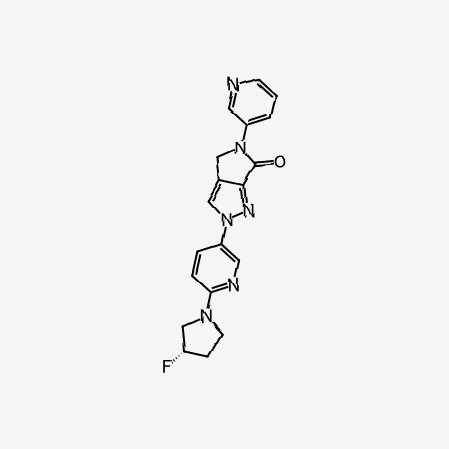 O=C1c2nn(-c3ccc(N4CC[C@H](F)C4)nc3)cc2CN1c1cccnc1